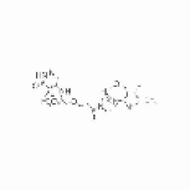 C[C@@H](COCCC(=O)N1CCN2c3ncc(C(F)(F)F)c(F)c3COC[C@H]2C1)Nc1cn[nH]c(=O)c1C(F)(F)F